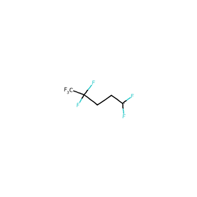 F[C](F)CCC(F)(F)C(F)(F)F